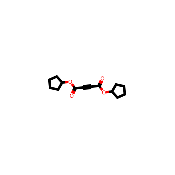 O=C(C#CC(=O)OC1CCCC1)OC1CCCC1